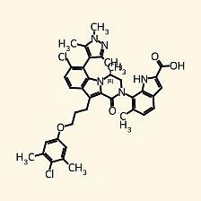 Cc1cc(OCCCc2c3n(c4c(-c5c(C)nn(C)c5C)c(Cl)ccc24)[C@H](C)CN(c2c(C)ccc4cc(C(=O)O)[nH]c24)C3=O)cc(C)c1Cl